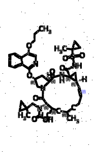 CCCOc1cnc(O[C@@H]2C[C@H]3C(=O)N[C@]4(C(=O)NS(=O)(=O)C5(C)CC5)C[C@H]4/C=C\CC[C@@H](C)C[C@@H](C)[C@H](N(CC4(C)CC4)C(=O)O)C(=O)N3C2)c2ccccc12